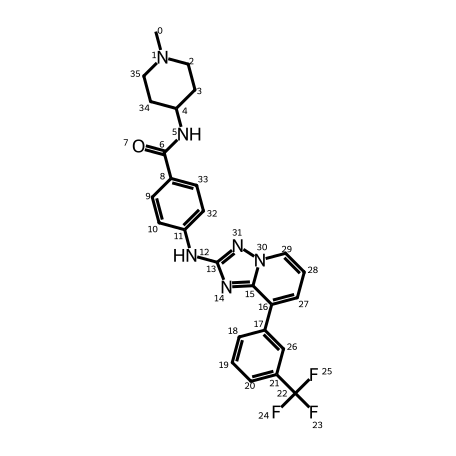 CN1CCC(NC(=O)c2ccc(Nc3nc4c(-c5cccc(C(F)(F)F)c5)cccn4n3)cc2)CC1